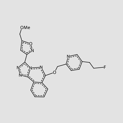 COCc1cc(-c2nnc3c4ccccc4c(OCc4ccc(CCF)cn4)nn23)no1